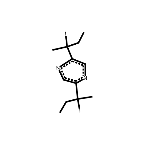 CCC(C)(I)c1cnc(C(C)(I)CC)cn1